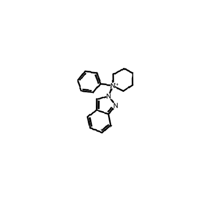 c1ccc([N+]2(n3cc4ccccc4n3)CCCCC2)cc1